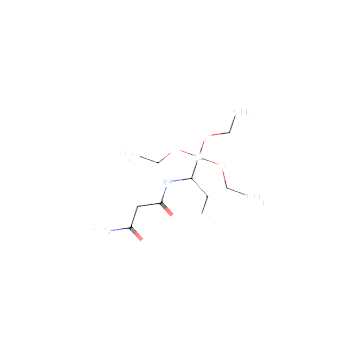 CCO[Si](OCC)(OCC)C(CC)NC(=O)CC(N)=O